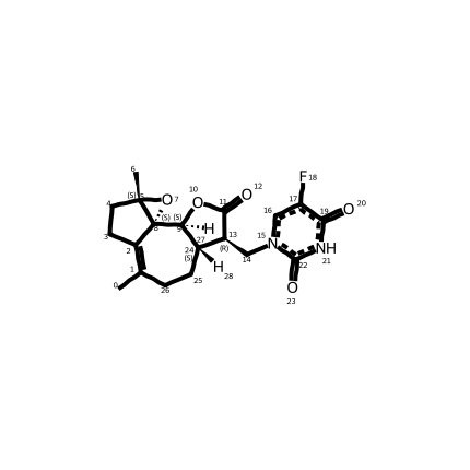 CC1=C2CC[C@]3(C)O[C@]23[C@H]2OC(=O)[C@@H](Cn3cc(F)c(=O)[nH]c3=O)[C@@H]2CC1